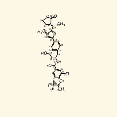 CC(Oc1ccc(C(=O)N[C@H](CCO)Cc2ccc(-c3cn(C)c([C@@H](C)N4CCCC4=O)n3)cc2)cc1Cl)C(F)(F)F